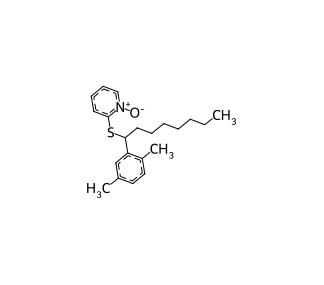 CCCCCCCC(Sc1cccc[n+]1[O-])c1cc(C)ccc1C